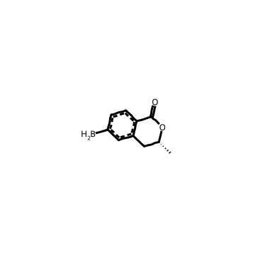 Bc1ccc2c(c1)C[C@@H](C)OC2=O